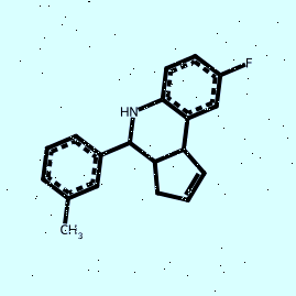 Cc1cccc(C2Nc3ccc(F)cc3C3C=CCC32)c1